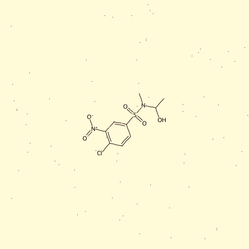 CC(O)N(C)S(=O)(=O)c1ccc(Cl)c([N+](=O)[O-])c1